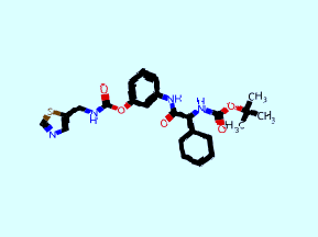 CC(C)(C)OC(=O)NC(C(=O)Nc1cccc(OC(=O)NCc2cncs2)c1)C1CCCCC1